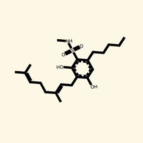 CCCCCc1cc(O)c(C/C=C(\C)CCC=C(C)C)c(O)c1S(=O)(=O)NC